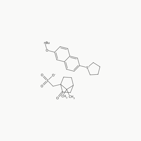 CC1(C)C2CCC1(CS(=O)(=O)[O-])C(=O)C2.CCCCOc1ccc2cc([S+]3CCCC3)ccc2c1